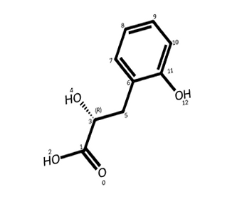 O=C(O)[C@H](O)Cc1ccccc1O